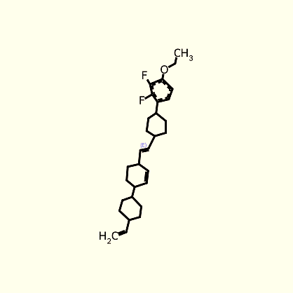 C=CC1CCC(C2C=CC(/C=C/C3CCC(c4ccc(OCC)c(F)c4F)CC3)CC2)CC1